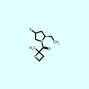 CC[C@@H]1CC(F)CN1C(=O)C1(C)CCS1